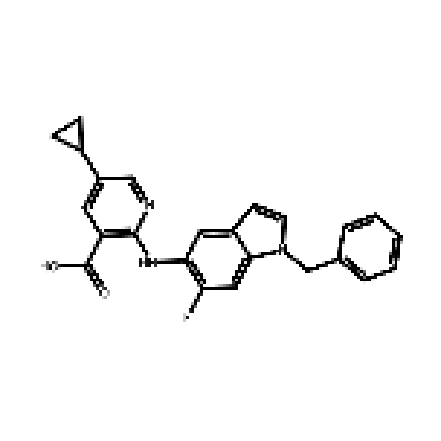 O=C(O)c1cc(C2CC2)cnc1Nc1cc2ccn(Cc3ccccc3)c2cc1F